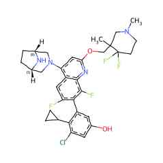 CN1CCC(F)(F)C(C)(COc2cc(N3C[C@H]4CC[C@@H](C3)N4)c3cc(F)c(-c4cc(O)cc(Cl)c4C4CC4)c(F)c3n2)C1